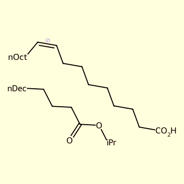 CCCCCCCC/C=C\CCCCCCCC(=O)O.CCCCCCCCCCCCCC(=O)OC(C)C